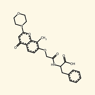 Cc1c(OCC(=O)NC(Cc2ccccc2)C(=O)O)ccc2c(=O)cc(N3CCOCC3)oc12